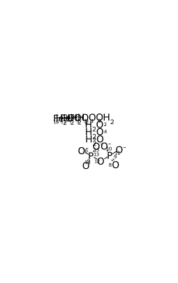 O.O.O.O.O.O.O.O.O=P([O-])([O-])OP(=O)([O-])[O-].[Fe+2].[Fe+2]